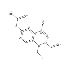 CCC(OC=O)c1ccc(CC(=O)O)cc1[N+](=O)[O-]